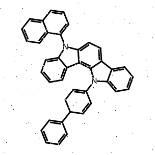 C1=CC(c2ccccc2)CC=C1n1c2ccccc2c2ccc3c(c4ccccc4n3-c3cccc4ccccc34)c21